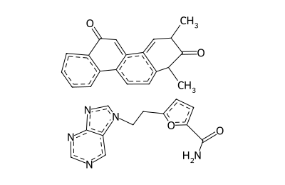 CC1C=c2c(ccc3c2=CC(=O)c2ccccc2-3)C(C)C1=O.NC(=O)c1ccc(CCn2cnc3ncncc32)o1